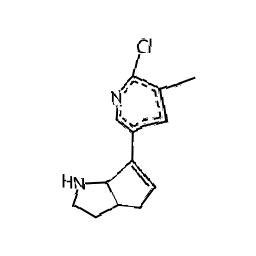 Cc1cc(C2=CCC3CCNC23)cnc1Cl